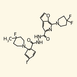 CC1(F)CCN(c2cc(I)ccc2C(=O)NNC(=O)c2cc3ccoc3c(N3CCC(F)(F)CC3)n2)CC1